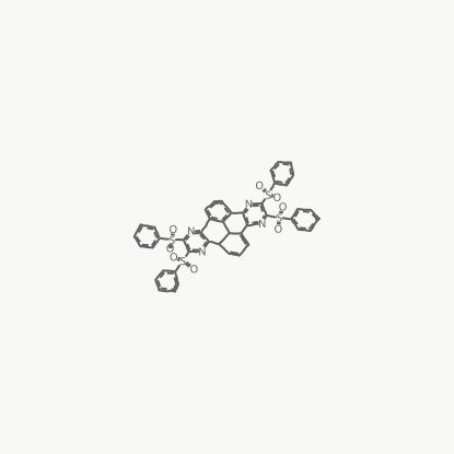 O=S(=O)(c1ccccc1)c1nc2c(nc1S(=O)(=O)c1ccccc1)-c1cccc3c1C1C2=CC=CC1c1nc(S(=O)(=O)c2ccccc2)c(S(=O)(=O)c2ccccc2)nc1-3